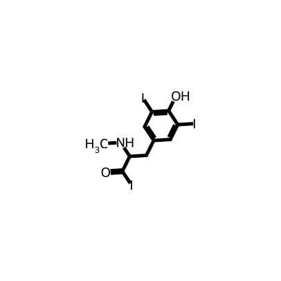 CNC(Cc1cc(I)c(O)c(I)c1)C(=O)I